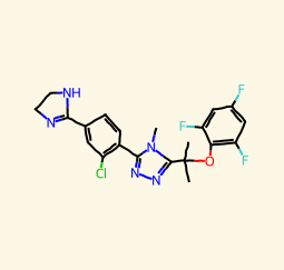 Cn1c(-c2ccc(C3=NCCN3)cc2Cl)nnc1C(C)(C)Oc1c(F)cc(F)cc1F